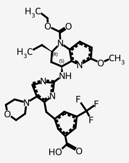 CCOC(=O)N1c2ccc(OC)nc2[C@@H](Nc2ncc(N3CCOCC3)c(Cc3cc(C(=O)O)cc(C(F)(F)F)c3)n2)C[C@H]1CC